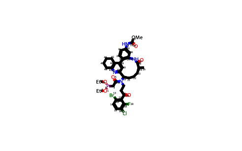 CCOP(CC(=O)N(CCC(=O)c1c(Br)ccc(Cl)c1F)C1CCCC(C)C(=O)Nc2cc(NC(=O)OC)ccc2-c2cc1nc1c2CCCC1)OCC